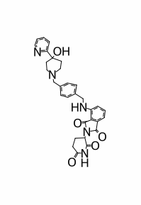 O=C1CCC(N2C(=O)c3cccc(NCc4ccc(CN5CCC(O)(c6ccccn6)CC5)cc4)c3C2=O)C(=O)N1